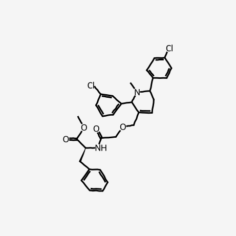 COC(=O)[C@H](Cc1ccccc1)NC(=O)COCC1=CCC(c2ccc(Cl)cc2)N(C)C1c1cccc(Cl)c1